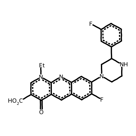 CCn1cc(C(=O)O)c(=O)c2cc3cc(F)c(N4CCNC(c5cccc(F)c5)C4)cc3nc21